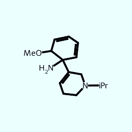 COC1C=CC=CC1(N)C1=CCCN(C(C)C)C1